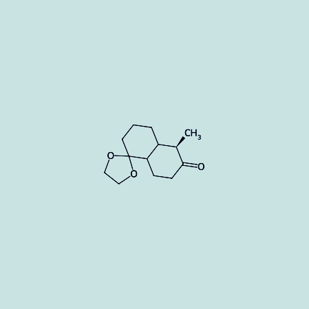 C[C@H]1C(=O)CCC2C1CCCC21OCCO1